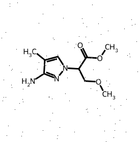 COCC(C(=O)OC)n1cc(C)c(N)n1